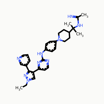 CCn1cc(-c2ccnc(Nc3ccc(N4CCC(C(C)(C)NC(C)=N)CC4)cc3)n2)c(-c2cccnc2)n1